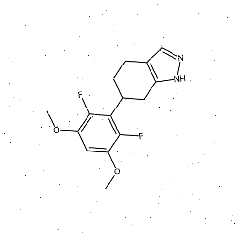 COc1cc(OC)c(F)c(C2CCc3[c]n[nH]c3C2)c1F